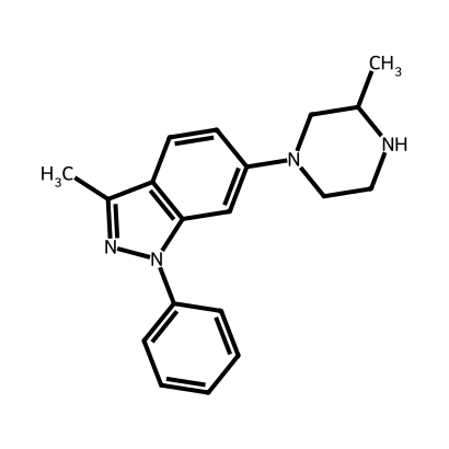 Cc1nn(-c2ccccc2)c2cc(N3CCNC(C)C3)ccc12